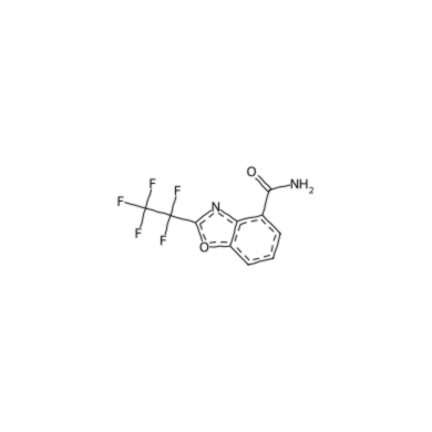 NC(=O)c1cccc2oc(C(F)(F)C(F)(F)F)nc12